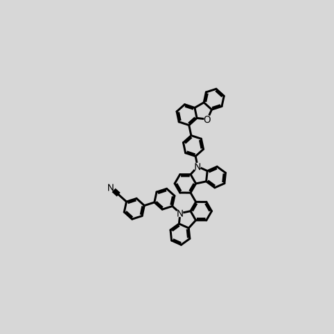 N#Cc1cccc(-c2cccc(-n3c4ccccc4c4cccc(-c5cccc6c5c5ccccc5n6-c5ccc(-c6cccc7c6oc6ccccc67)cc5)c43)c2)c1